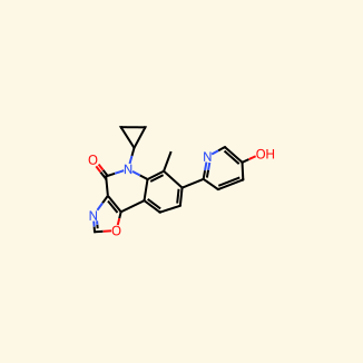 Cc1c(-c2ccc(O)cn2)ccc2c3ocnc3c(=O)n(C3CC3)c12